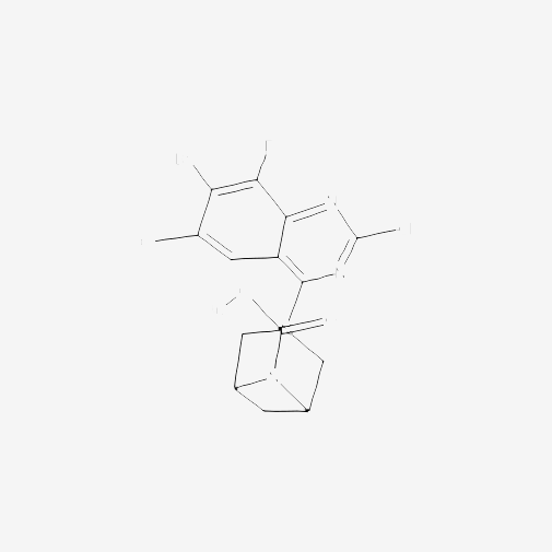 CC(C)(C)OC(=O)N1C2CC1CN(c1nc(Cl)nc3c(F)c(Br)c(Cl)cc13)C2